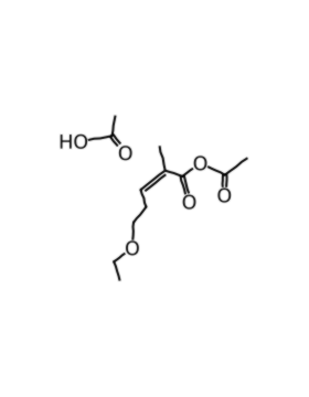 CC(=O)O.CCOCCC=C(C)C(=O)OC(C)=O